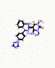 CC(C)CN1C(=N)/C(=C(\NCc2ccc(-n3cncn3)cc2)Nc2ccccc2)C(=S)N(C)C1=O